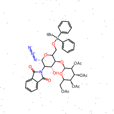 CC(=O)OCC1O[C@@H](O[C@@H]2C(CO[Si](c3ccccc3)(c3ccccc3)C(C)(C)C)O[C@@H](N=[N+]=[N-])C(N3C(=O)c4ccccc4C3=O)[C@H]2O)C(OC(C)=O)[C@@H](OC(C)=O)[C@H]1OC(C)=O